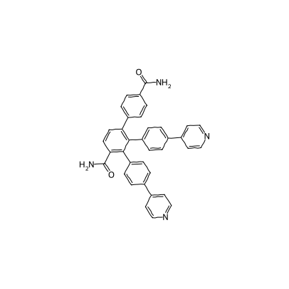 NC(=O)c1ccc(-c2ccc(C(N)=O)c(-c3ccc(-c4ccncc4)cc3)c2-c2ccc(-c3ccncc3)cc2)cc1